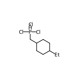 CCC1CCC(C[PH](Cl)(Cl)Cl)CC1